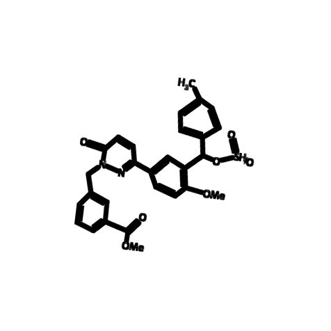 COC(=O)c1cccc(Cn2nc(-c3ccc(OC)c(C(O[SH](=O)=O)c4ccc(C)cc4)c3)ccc2=O)c1